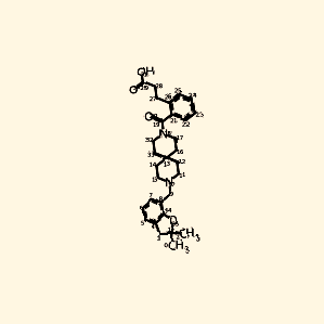 CC1(C)Cc2cccc(CN3CCC4(CC3)CCN(C(=O)c3ccccc3CCC(=O)O)CC4)c2O1